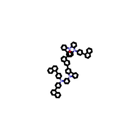 c1cc(N(c2ccc(-c3cccc4ccccc34)cc2)c2ccc(-c3cccc4ccccc34)cc2)cc(-n2c3ccccc3c3cc(-c4ccc5c(-c6ccc(N(c7ccc(-c8cccc9ccccc89)cc7)c7ccccc7-n7c8ccccc8c8ccccc87)cc6)cccc5c4)ccc32)c1